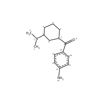 CN(C)C1CCCN(C(=O)c2ccc(N)cn2)C1